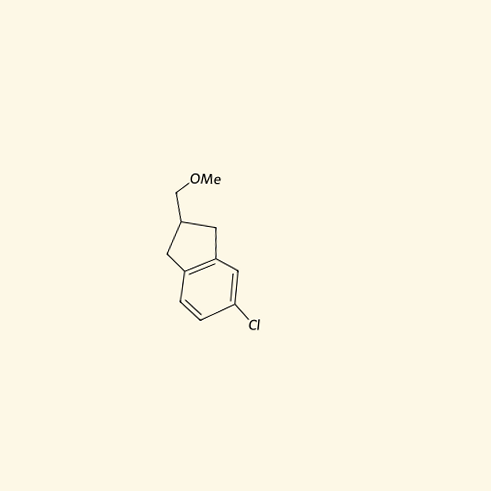 COCC1Cc2ccc(Cl)cc2C1